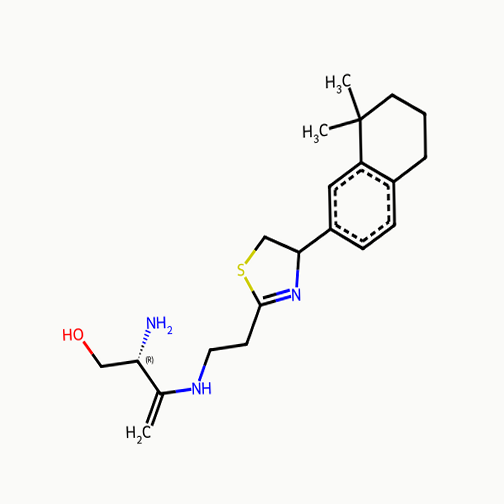 C=C(NCCC1=NC(c2ccc3c(c2)C(C)(C)CCC3)CS1)[C@@H](N)CO